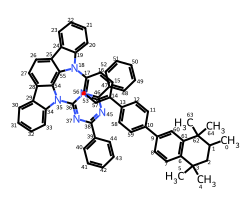 CC1CC(C)(C)c2ccc(-c3ccc(-c4ccc(-n5c6ccccc6c6ccc7c8ccccc8n(-c8nc(-c9ccccc9)nc(-c9ccccc9)n8)c7c65)cc4)cc3)cc2C1(C)C